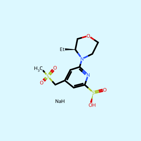 CC[C@H]1COCCN1c1cc(CS(C)(=O)=O)cc([S@@](=O)O)n1.[NaH]